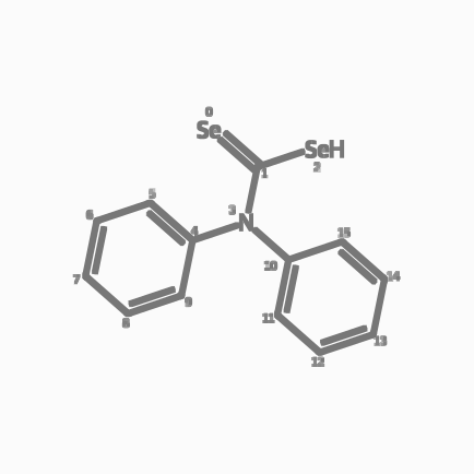 [Se]=C([SeH])N(c1ccccc1)c1ccccc1